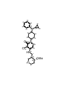 CO[C@@H]1CCOC[C@H]1CNc1cnn(C2CCC(N(c3ccccc3)C3CC3)CC2)c(=O)c1Cl